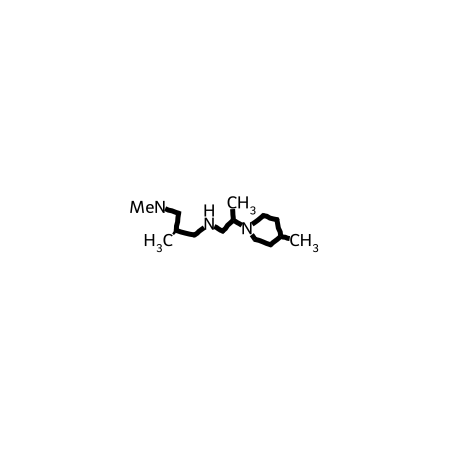 CNC[C@@H](C)CNCC(C)N1CCC(C)CC1